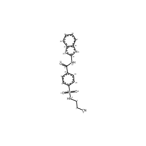 N#CCCNS(=O)(=O)c1ccc(C(=O)Nc2nc3ccccc3s2)cc1